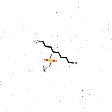 CCCCCCCCCC.O=S(=O)([O-])[O-].[Na+].[Na+]